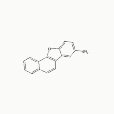 Bc1ccc2oc3c4ccccc4ccc3c2c1